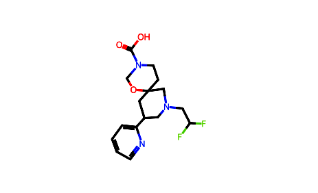 O=C(O)N1CCC2(CC(c3ccccn3)CN(CC(F)F)C2)OC1